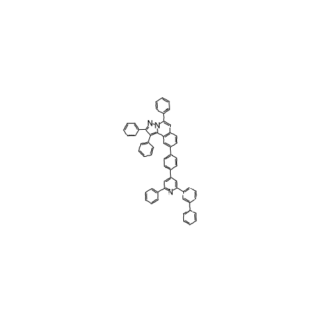 c1ccc(-c2cccc(-c3cc(-c4ccc(-c5ccc6cc(-c7ccccc7)n7nc(-c8ccccc8)c(-c8ccccc8)c7c6c5)cc4)cc(-c4ccccc4)n3)c2)cc1